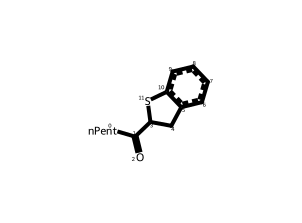 CCCCCC(=O)C1Cc2ccccc2S1